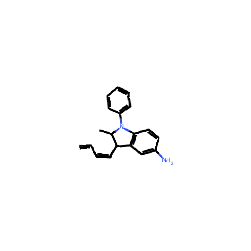 C=C/C=C\C1c2cc(N)ccc2N(c2ccccc2)C1C